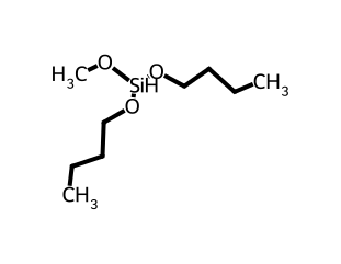 CCCCO[SiH](OC)OCCCC